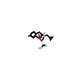 Cc1ccc2c(c1)[C@]13CCN(CC4CC4)[C@H](C2)[C@]1(O)C[C@@H](C(=O)O)C3